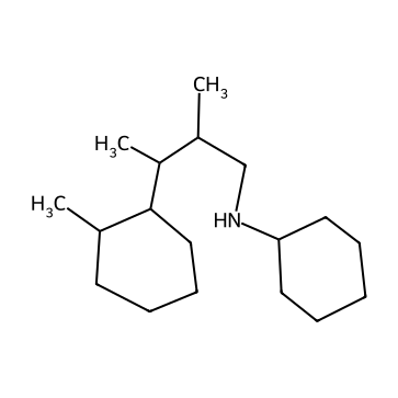 CC(CNC1CCCCC1)C(C)C1CCCCC1C